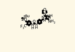 CC(C)(C)[Si](C)(C)OCc1ccc(NC(=O)Nc2ccc(-c3nc(N4CCOCC4)c4[nH]nc(N)c4n3)cc2)cc1C(F)(F)F